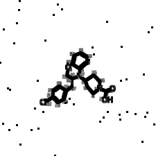 O=C(O)N1CCC(N2c3ccccc3OC[C@@H]2Cc2ccc(Cl)cc2)CC1